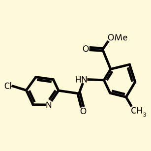 COC(=O)c1ccc(C)cc1NC(=O)c1ccc(Cl)cn1